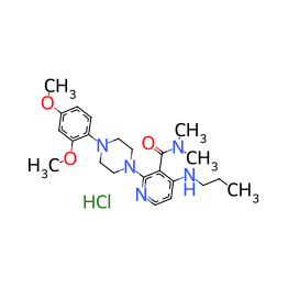 CCCNc1ccnc(N2CCN(c3ccc(OC)cc3OC)CC2)c1C(=O)N(C)C.Cl